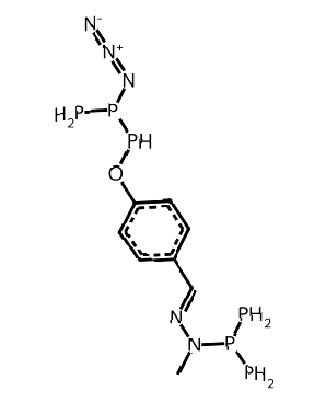 CN(N=Cc1ccc(OPP(P)N=[N+]=[N-])cc1)P(P)P